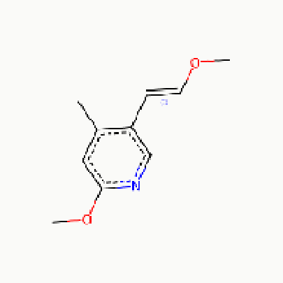 CO/C=C/c1cnc(OC)cc1C